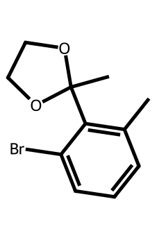 Cc1cccc(Br)c1C1(C)OCCO1